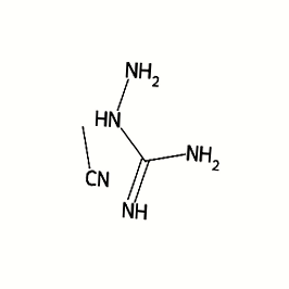 CC#N.N=C(N)NN